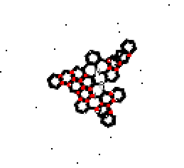 c1ccc(-c2cccc(-c3cccc(-c4cccc(-c5ccccc5)c4)c3N3c4cc(-c5ccccc5)cc5c4B(c4ccc6c(oc7ccccc76)c43)c3ccc4c(oc6ccccc64)c3N5c3c(-c4cccc(-c5ccccc5)c4)cccc3-c3cccc(-c4ccccc4)c3)c2)cc1